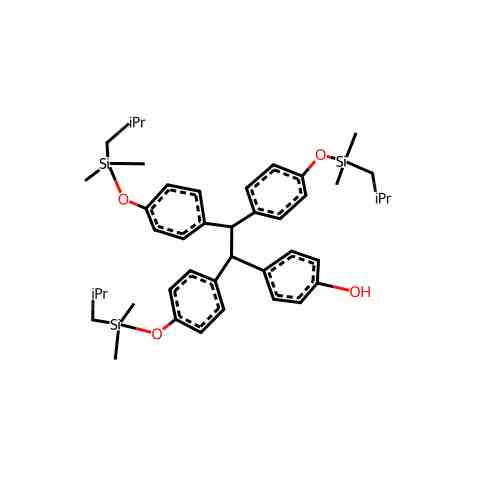 CC(C)C[Si](C)(C)Oc1ccc(C(c2ccc(O)cc2)C(c2ccc(O[Si](C)(C)CC(C)C)cc2)c2ccc(O[Si](C)(C)CC(C)C)cc2)cc1